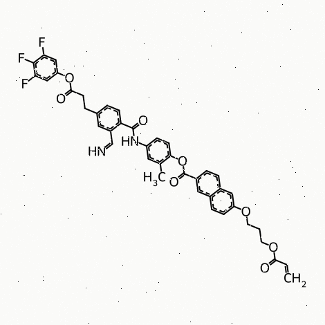 C=CC(=O)OCCCOc1ccc2cc(C(=O)Oc3ccc(NC(=O)c4ccc(CCC(=O)Oc5cc(F)c(F)c(F)c5)cc4C=N)cc3C)ccc2c1